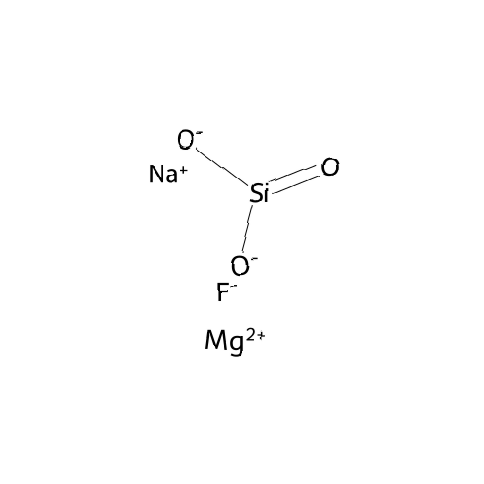 O=[Si]([O-])[O-].[F-].[Mg+2].[Na+]